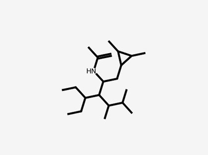 C=C(C)NC(CC1C(C)C1C)C(C(CC)CC)C(C)C(C)C